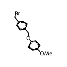 COc1ccc(OCc2ccc(CBr)cc2)cc1